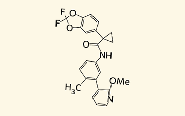 COc1ncccc1-c1cc(NC(=O)C2(c3ccc4c(c3)OC(F)(F)O4)CC2)ccc1C